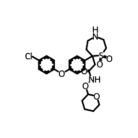 O=C(CC1(c2ccc(Oc3ccc(Cl)cc3)cc2)CCNCCS1(=O)=O)NOC1CCCCO1